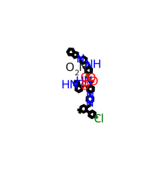 CC1(C)CCC(CN2CCN(c3ccc(C(=O)NS(=O)(=O)c4ccc(NC5CCN(C6Cc7ccccc7C6)CC5)c([N+](=O)[O-])c4)c(Oc4cccc5[nH]ccc45)c3)CC2)=C(c2ccc(Cl)cc2)C1